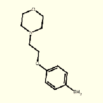 Bc1ccc(OCCN2CCOCC2)cc1